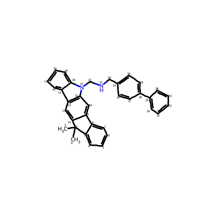 CC1(C)c2ccccc2-c2cc3c(cc21)c1ccccc1n3CNCc1ccc(-c2ccccc2)cc1